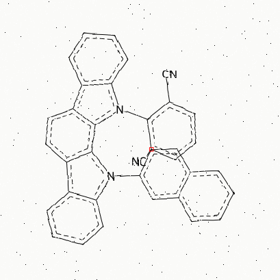 N#Cc1cccc(C#N)c1-n1c2ccccc2c2ccc3c4ccccc4n(-c4ccc5ccccc5c4)c3c21